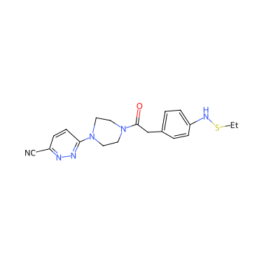 CCSNc1ccc(CC(=O)N2CCN(c3ccc(C#N)nn3)CC2)cc1